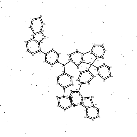 c1ccc(-c2ccc(N(c3ccc(-c4cccc5c4oc4ccccc45)cc3)c3ccc4c(c3)C(c3ccccc3)(c3ccc(-c5cccc6c5oc5ccccc56)cc3)c3ccccc3-4)cc2)cc1